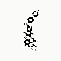 Cc1c(Br)ccc2c1N(C(=O)OC(C)(C)C)C(Br)CN2c1c(F)c2cnc(Nc3ccc(N4CCN(C)CC4)cc3)nc2n(C)c1=O